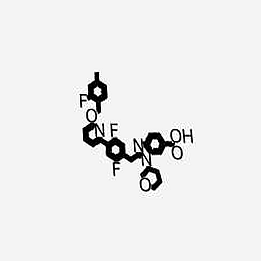 Cc1ccc(COc2cccc(-c3cc(F)c(Cc4nc5ccc(C(=O)O)cc5n4C4CCCOC4)cc3F)n2)c(F)c1